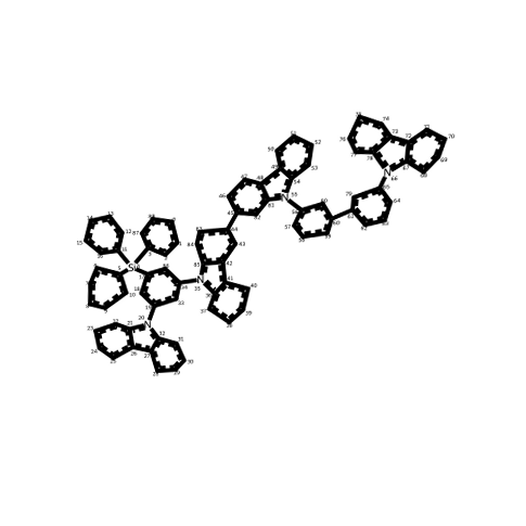 c1ccc([Si](c2ccccc2)(c2ccccc2)c2cc(-n3c4ccccc4c4ccccc43)cc(-n3c4ccccc4c4cc(-c5ccc6c7ccccc7n(-c7cccc(-c8cccc(-n9c%10ccccc%10c%10ccccc%109)c8)c7)c6c5)ccc43)c2)cc1